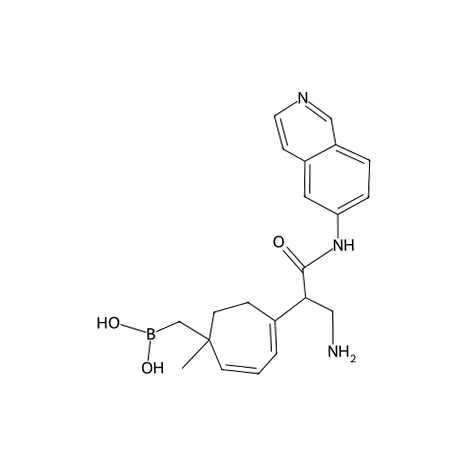 CC1(CB(O)O)C=CC=C(C(CN)C(=O)Nc2ccc3cnccc3c2)CC1